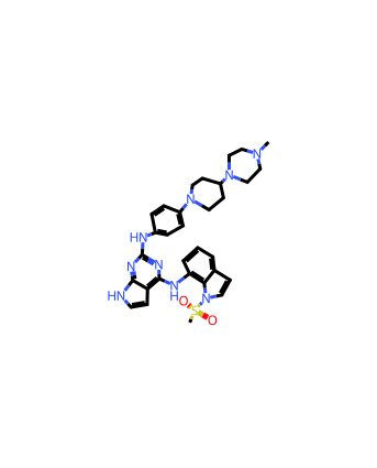 CN1CCN(C2CCN(c3ccc(Nc4nc(Nc5cccc6ccn(S(C)(=O)=O)c56)c5cc[nH]c5n4)cc3)CC2)CC1